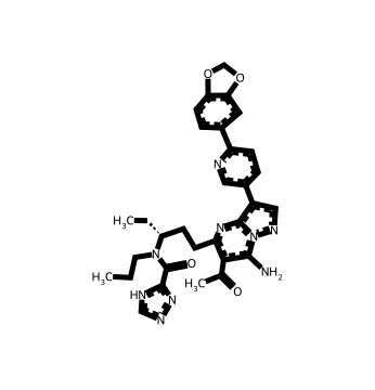 CCCN(C(=O)c1nnc[nH]1)[C@H](CC)CCc1nc2c(-c3ccc(-c4ccc5c(c4)OCO5)nc3)cnn2c(N)c1C(C)=O